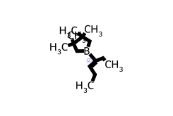 CC/C=C(\CC)B1CC(C)(C)C(C)(C)C1